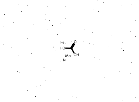 O=C(O)O.[Fe].[Mn].[Ni]